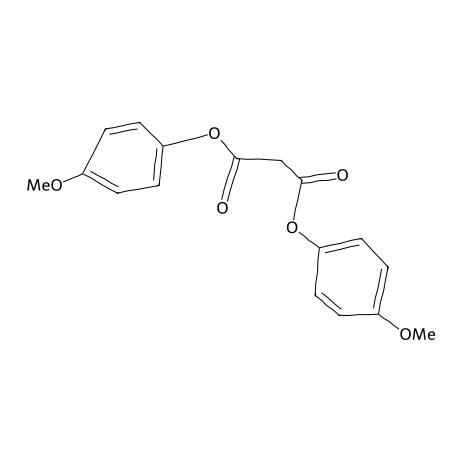 COc1ccc(OC(=O)CC(=O)Oc2ccc(OC)cc2)cc1